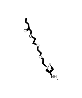 CCCC(=O)COCCOCCOCCn1cc(N)cn1